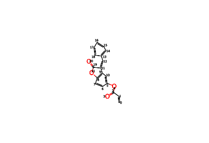 C=CC(=O)Oc1ccc2c(c1)/C(=C/c1ccccc1)C(=O)O2